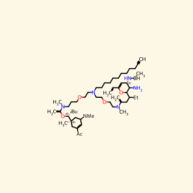 C#CCCCCCCCCCCN(CCOCCCN(C)C(=C)O[C@H](C(C)CC)[C@]1(C)CC(C(C)=O)=CC(NC)C1)CCOCCN(C)C(=C)CC(CC)C1OC(C=C)=C[C@H](NBC)C1N